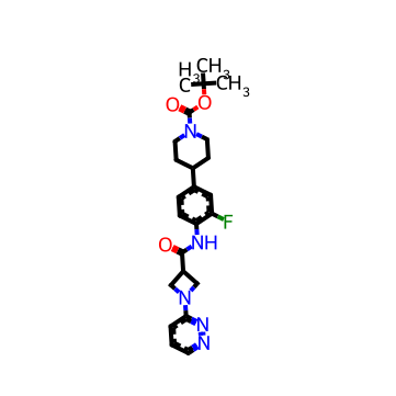 CC(C)(C)OC(=O)N1CCC(c2ccc(NC(=O)C3CN(c4cccnn4)C3)c(F)c2)CC1